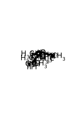 CCCC(=O)NCC(C)CN(C)C(C)c1ccc(OCCCCN(C)C)c(C)c1C